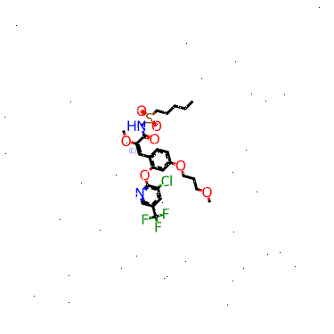 CCCCCS(=O)(=O)NC(=O)/C(=C\c1ccc(OCCCOC)cc1Oc1ncc(C(F)(F)F)cc1Cl)OC